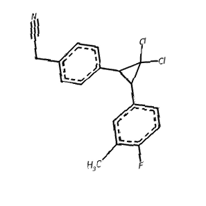 Cc1cc(C2C(c3ccc(CC#N)cc3)C2(Cl)Cl)ccc1F